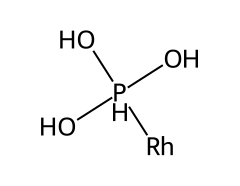 O[PH](O)(O)[Rh]